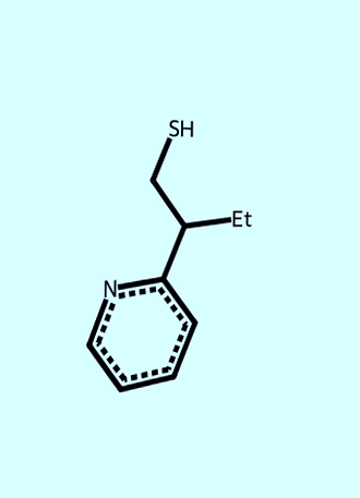 CCC(CS)c1ccccn1